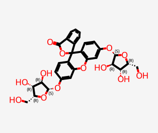 O=C1OC2(c3ccc(O[C@@H]4O[C@H](CO)[C@H](O)[C@H]4O)cc3Oc3cc(O[C@@H]4O[C@H](CO)[C@H](O)[C@H]4O)ccc32)c2ccccc21